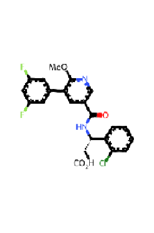 COc1ncc(C(=O)N[C@@H](CC(=O)O)c2ccccc2Cl)cc1-c1cc(F)cc(F)c1